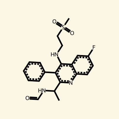 CC(NC=O)c1nc2ccc(F)cc2c(NCCS(C)(=O)=O)c1-c1ccccc1